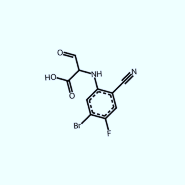 N#Cc1cc(F)c(Br)cc1NC(C=O)C(=O)O